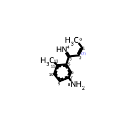 C/C=C\C(=N)c1cc(N)ccc1C